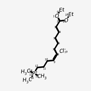 CCOC(CCCCC/C=C\CCC[P+](C)(C)C)OCC.[Cl-]